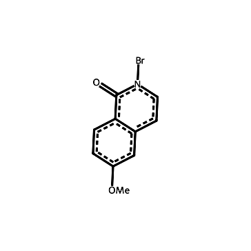 COc1ccc2c(=O)n(Br)ccc2c1